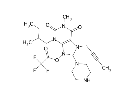 CC#CCN1c2c(n(CC(C)CC)c(=O)n(C)c2=O)N(OC(=O)C(F)(F)F)C1N1CCNCC1